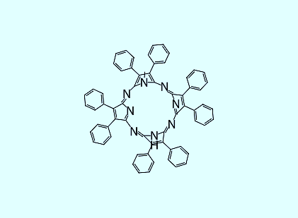 Cn1c2nc3nc(nc4[nH]c(nc5nc(nc1c(-c1ccccc1)c2-c1ccccc1)C(c1ccccc1)=C5c1ccccc1)c(-c1ccccc1)c4-c1ccccc1)C(c1ccccc1)=C3c1ccccc1